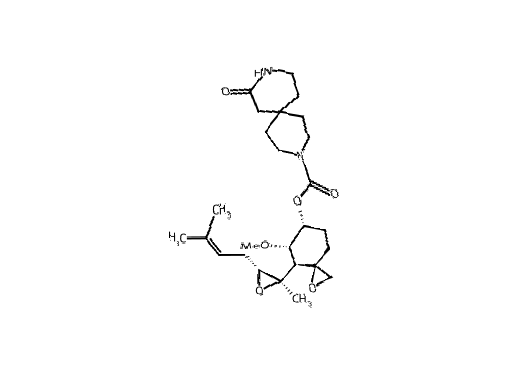 CO[C@@H]1[C@H](OC(=O)N2CCC3(CCNC(=O)C3)CC2)CC[C@]2(CO2)[C@H]1[C@@]1(C)O[C@@H]1CC=C(C)C